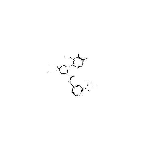 CO[C@]1(C(F)(F)F)C[C@@H](C(=O)Nc2ccnc([S@](C)(=N)=O)c2)N(c2ccc(F)c(F)c2C(C)C)C1